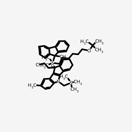 Cc1ccc2c(c1)c1c(n2CS(C)(C)C)C2=CCCC=C2C1(CCCl)[SH](C)(C)(CCCCCCOC(C)(C)C)C1(C)c2ccccc2-c2ccccc21